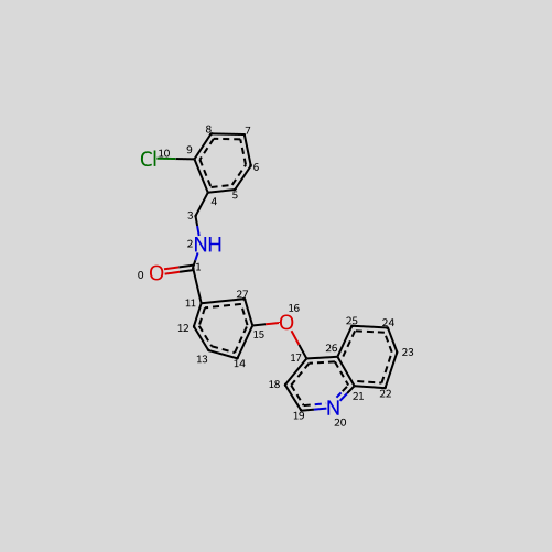 O=C(NCc1ccccc1Cl)c1cccc(Oc2ccnc3ccccc23)c1